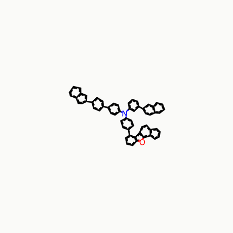 c1cc(-c2ccc3ccccc3c2)cc(N(c2ccc(-c3ccc(-c4ccc5ccccc5c4)cc3)cc2)c2ccc(-c3cccc4oc5c6ccccc6ccc5c34)cc2)c1